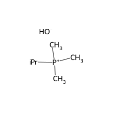 CC(C)[P+](C)(C)C.[OH-]